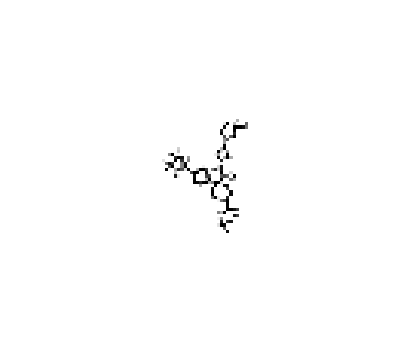 CC1(F)CCN(C2CC(N3C(=O)C4(CCN(C(=O)OC(C)(C)C)CC4)c4ccc(B5OC(C)(C)C(C)(C)O5)cc43)C2)C1